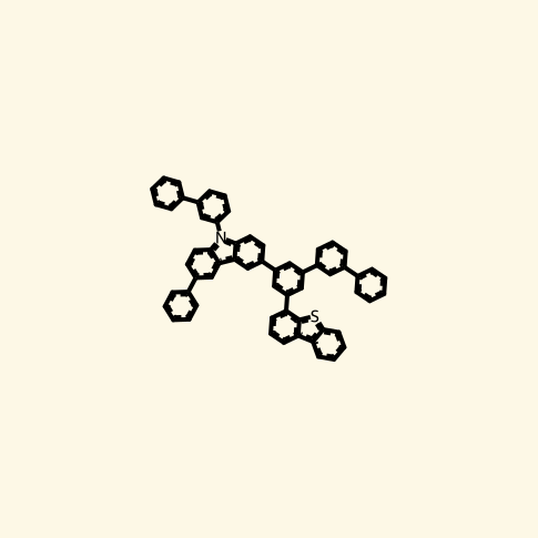 c1ccc(-c2cccc(-c3cc(-c4ccc5c(c4)c4cc(-c6ccccc6)ccc4n5-c4cccc(-c5ccccc5)c4)cc(-c4cccc5c4sc4ccccc45)c3)c2)cc1